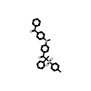 Cc1ccc(S(=O)(=O)C(C)(C(=O)c2ccc(N(C)c3ccc(C(=O)c4ccccc4)cc3)cc2)c2ccccc2)cc1